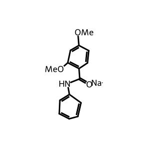 COc1ccc(C(=O)Nc2ccccc2)c(OC)c1.[Na]